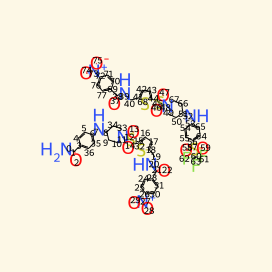 NC(=O)c1ccc(NC2CCN(S(=O)(=O)c3ccc(CNC(=O)c4ccc([N+](=O)[O-])cc4)s3)CC2)cc1.O=C(NCc1ccc(S(=O)(=O)N2CCC(Nc3ccc(S(=O)(=O)C(F)(F)F)cc3)CC2)s1)c1ccc([N+](=O)[O-])cc1